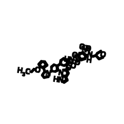 CCCOc1ccccc1C1CCCN1C1CC=C(C2=CC=CC(Oc3cnc4[nH]ccc4c3)(C(=O)NS(=O)(=O)c3ccc(NCC4CCOCC4)c([N+](=O)[O-])c3)C2)CC1